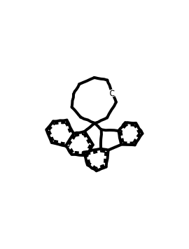 c1ccc2c(c1)-c1ccccc1C2C1(c2cccc3ccccc23)CCCCCCCCC1